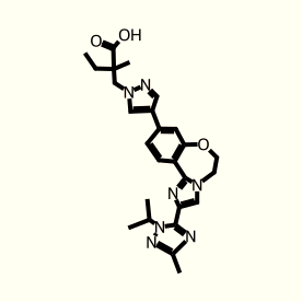 CCC(C)(Cn1cc(-c2ccc3c(c2)OCCn2cc(-c4nc(C)nn4C(C)C)nc2-3)cn1)C(=O)O